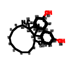 CC1CCCCCCCCCC(C)(C)C1(c1ccc(O)cc1)c1ccc(O)cc1